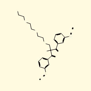 O=C=Nc1cccc(C(=O)C(O)(COCCOCCOCCO)C(=O)c2cccc(N=C=O)c2)c1